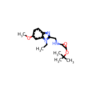 CCn1c(CNC2OC2OC(C)(C)C)nc2ccc(OC)cc21